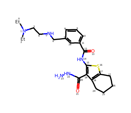 CCN(CC)CCNCc1cccc(C(=O)Nc2sc3c(c2C(=O)NN)CCCC3)c1